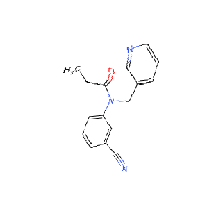 CCC(=O)N(Cc1cccnc1)c1cccc(C#N)c1